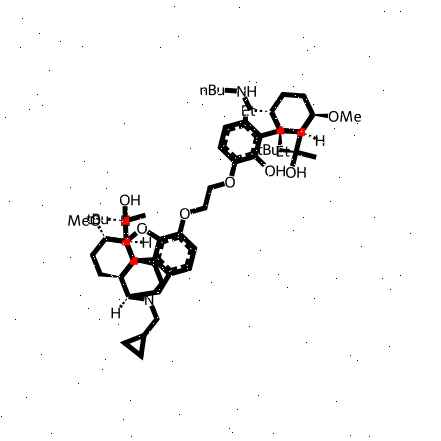 CCCCNC[C@]12CC[C@@](OC)(C[C@]1(CC)c1c(CC)ccc(OCCOc3ccc4c5c3O[C@H]3[C@]6(OC)CC[C@@]7(C[C@@H]6[C@](C)(O)C(C)(C)C)[C@@H](C4)N(CC4CC4)CC[C@]537)c1O)[C@@H]([C@](C)(O)C(C)(C)C)C2